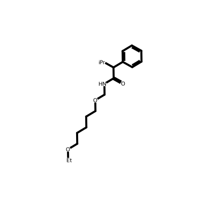 CCOCCCCCOCNC(=O)C(c1ccccc1)C(C)C